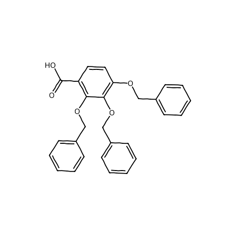 O=C(O)c1ccc(OCc2ccccc2)c(OCc2ccccc2)c1OCc1ccccc1